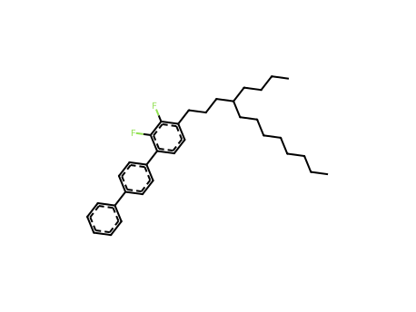 CCCCCCCCC(CCCC)CCCc1ccc(-c2ccc(-c3ccccc3)cc2)c(F)c1F